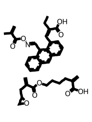 C=C(C)C(=O)ON=Cc1c2ccccc2cc2cccc(C=C(CC)C(=O)O)c12.C=C(CCCCOC(=O)C(=C)CC1CO1)C(=O)O